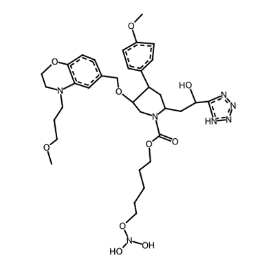 COCCCN1CCOc2ccc(COC3CN(C(=O)OCCCCCON(O)O)C(CC(O)c4nnn[nH]4)CC3c3ccc(OC)cc3)cc21